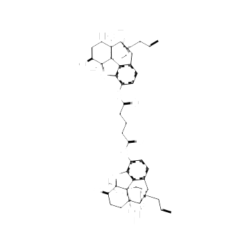 C=CCN1CC[C@]23c4c5ccc(OC(=O)CCCC(=O)Oc6ccc7c8c6O[C@H]6C(=O)CC[C@@]9(O)[C@@H](C7)N(CC=C)CC[C@]869)c4O[C@H]2C(=O)CC[C@@]3(O)[C@H]1C5